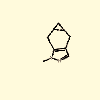 Cn1ncc2c1CC1CC1C2